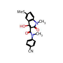 CSc1ccc2c(c1)c(O)c(C(=O)N(C)c1ccc(C#N)cc1)c(=O)n2C